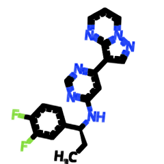 CC[C@H](Nc1cc(-c2cnn3cccnc23)ncn1)c1ccc(F)c(F)c1